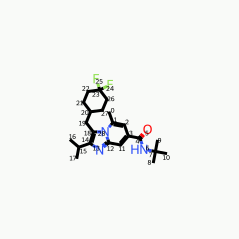 Cc1cc(C(=O)NC(C)(C)C)cc2nc(C(C)C)c(CC3CCC(F)(F)CC3)n12